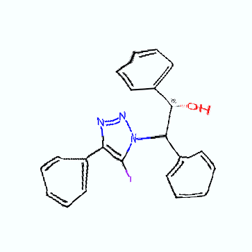 O[C@@H](c1ccccc1)C(c1ccccc1)n1nnc(-c2ccccc2)c1I